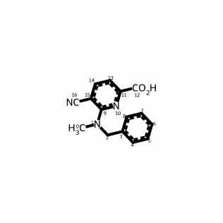 CN(Cc1ccccc1)c1nc(C(=O)O)ccc1C#N